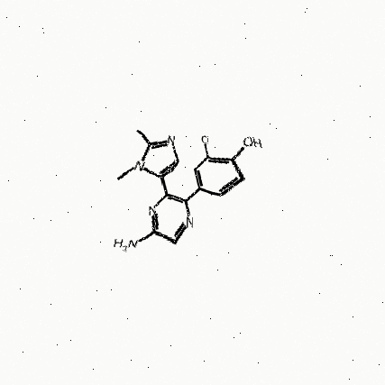 Cc1ncc(-c2nc(N)cnc2-c2ccc(O)c(Cl)c2)n1C